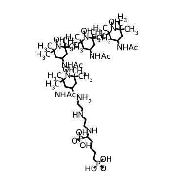 CC(=O)NC1CC(C)(C)N(O)C(C)(C)C1.CC(=O)NC1CC(C)(C)N(O)C(C)(C)C1.CC(=O)NC1CC(C)(C)N(O)C(C)(C)C1.CC(=O)NC1CC(C)(C)N(O)C(C)(C)C1.NCCNCCNC(CCCCP(=O)(O)O)P(=O)(O)O